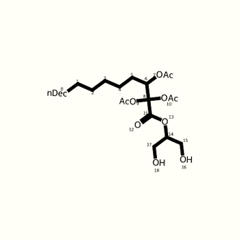 CCCCCCCCCCCCCCCC(OC(C)=O)C(OC(C)=O)(OC(C)=O)C(=O)OC(CO)CO